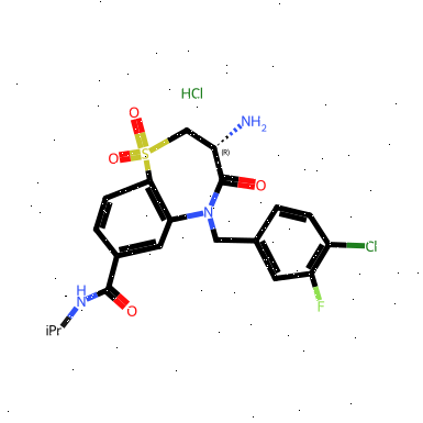 CC(C)NC(=O)c1ccc2c(c1)N(Cc1ccc(Cl)c(F)c1)C(=O)[C@@H](N)CS2(=O)=O.Cl